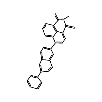 CN1C(=O)c2cccc3c(-c4ccc5cc(-c6ccccc6)ccc5c4)ccc(c23)C1=O